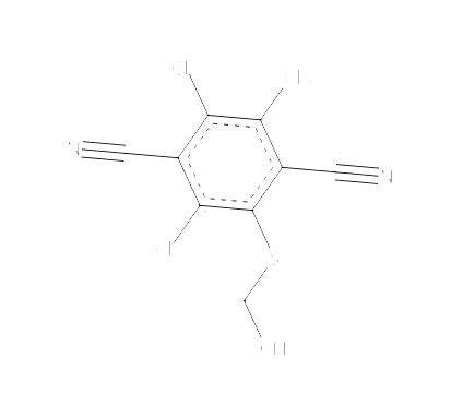 CCSc1c(Cl)c(C#N)c(Cl)c(Cl)c1C#N